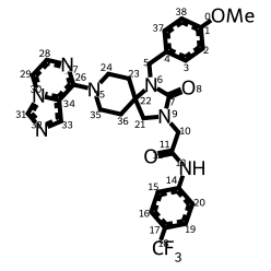 COc1ccc(CN2C(=O)N(CC(=O)Nc3ccc(C(F)(F)F)cc3)CC23CCN(c2nccn4cncc24)CC3)cc1